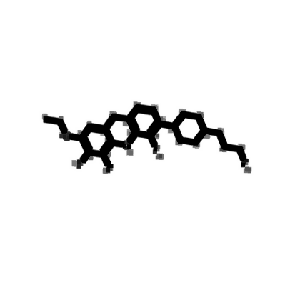 CCOc1cc2c(c(F)c1F)Oc1c(ccc(C3CCC(CCCF)CC3)c1F)C2